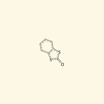 O=c1sc2c[c]ccc2s1